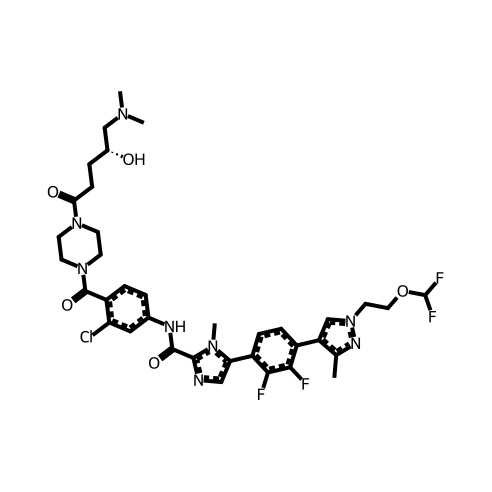 Cc1nn(CCOC(F)F)cc1-c1ccc(-c2cnc(C(=O)Nc3ccc(C(=O)N4CCN(C(=O)CC[C@@H](O)CN(C)C)CC4)c(Cl)c3)n2C)c(F)c1F